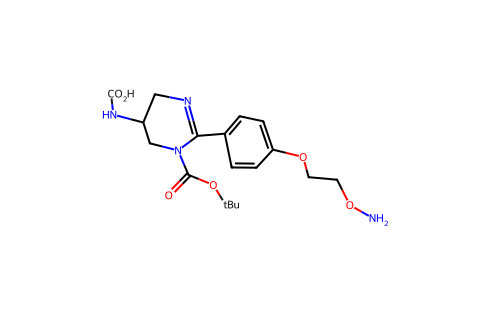 CC(C)(C)OC(=O)N1CC(NC(=O)O)CN=C1c1ccc(OCCON)cc1